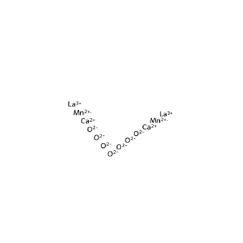 [Ca+2].[Ca+2].[La+3].[La+3].[Mn+2].[Mn+2].[O-2].[O-2].[O-2].[O-2].[O-2].[O-2].[O-2]